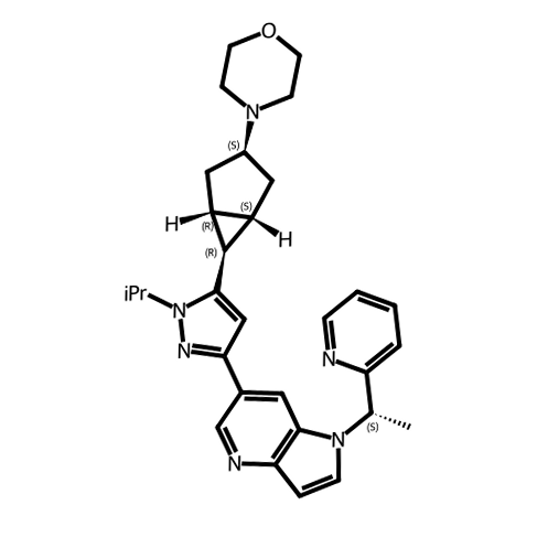 CC(C)n1nc(-c2cnc3ccn([C@@H](C)c4ccccn4)c3c2)cc1[C@H]1[C@@H]2C[C@@H](N3CCOCC3)C[C@@H]21